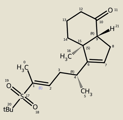 C/C(=C\C[C@@H](C)C1=CC[C@H]2C(=O)CCC[C@]12C)S(=O)(=O)C(C)(C)C